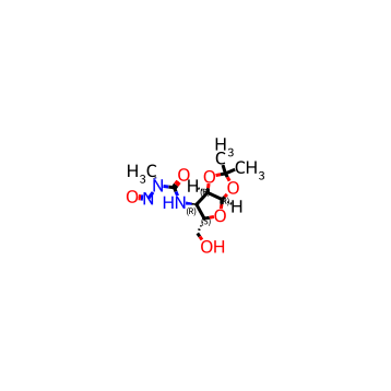 CN(N=O)C(=O)N[C@H]1[C@H]2OC(C)(C)O[C@H]2O[C@@H]1CO